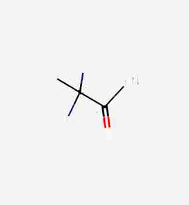 CC(I)(I)C(=O)C#N